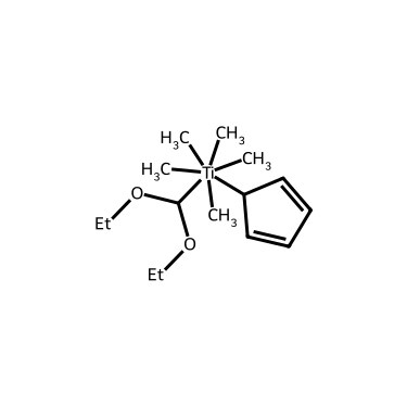 CCO[CH](OCC)[Ti]([CH3])([CH3])([CH3])([CH3])([CH3])[CH]1C=CC=C1